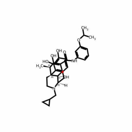 CC(C)Oc1cccc(NC(=O)C2=C(O)[C@H](C)[C@]34CCN(CC5CC5)[C@H](Cc5ccc(O)c(O)c53)[C@]4(O)C2)c1